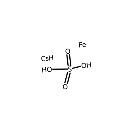 O=S(=O)(O)O.[CsH].[Fe]